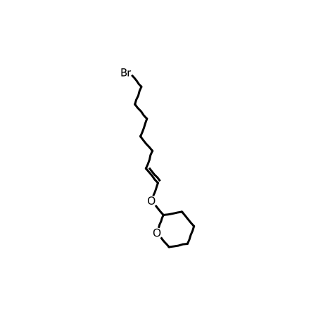 BrCCCCC/C=C/OC1CCCCO1